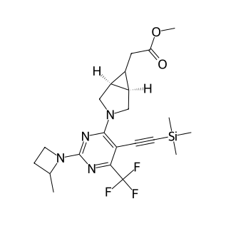 COC(=O)CC1[C@H]2CN(c3nc(N4CCC4C)nc(C(F)(F)F)c3C#C[Si](C)(C)C)C[C@@H]12